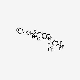 O=C1N=C(N2CC(N3CCOCC3)C2)S/C1=C/c1ccc2c(cnn2Cc2ccc(C(F)(F)F)cc2C(F)(F)F)c1